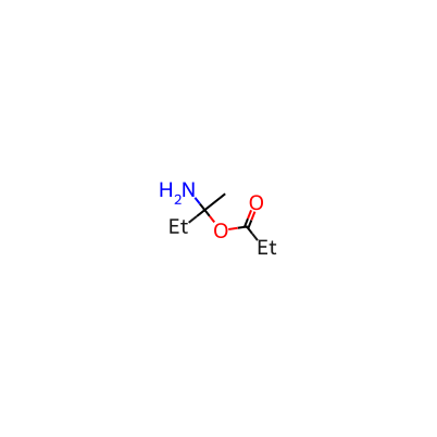 CCC(=O)OC(C)(N)CC